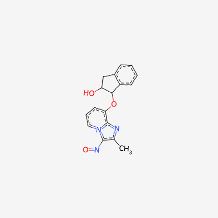 Cc1nc2c(OC3c4ccccc4CC3O)cccn2c1N=O